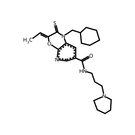 C/C=C1\Oc2ncc(C(=O)NCCCN3CCCCC3)cc2N(CC2CCCCC2)C1=S